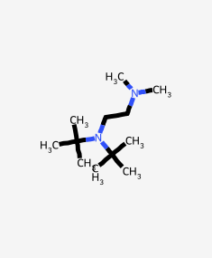 CN(C)CCN(C(C)(C)C)C(C)(C)C